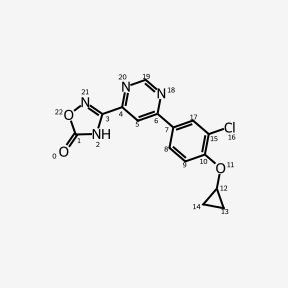 O=c1[nH]c(-c2cc(-c3ccc(OC4CC4)c(Cl)c3)ncn2)no1